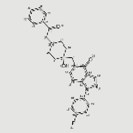 O=C(CN1CCC(O)(Cn2cnc3c(cnn3-c3ccc(F)cc3)c2=O)CC1)c1ccccc1